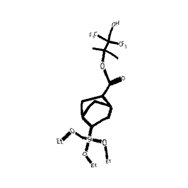 CCO[Si](OCC)(OCC)C1CC2CC1CC2C(=O)OC(C)(C)C(O)(C(F)(F)F)C(F)(F)F